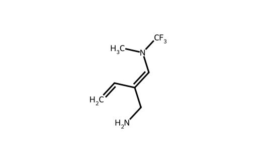 C=C/C(=C\N(C)C(F)(F)F)CN